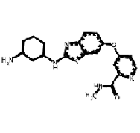 CNC(=O)c1cc(Oc2ccc3nc(NC4CCCC(N)C4)sc3c2)ccn1